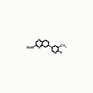 CNc1cnc2ccc(-c3cnc(F)c(C)c3)cc2n1